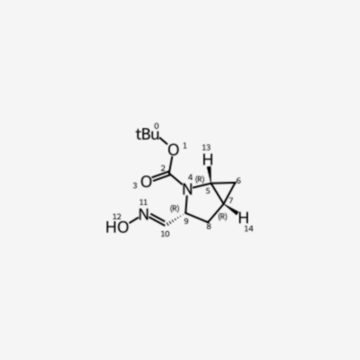 CC(C)(C)OC(=O)N1[C@@H]2C[C@@H]2C[C@@H]1C=NO